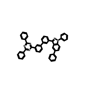 c1ccc(-c2ccc3c(c2)c(-c2cccc(-c4cccc(-c5nc(-c6ccccc6)nc(-c6ccccc6)n5)c4)c2)nn3-c2ccccc2)cc1